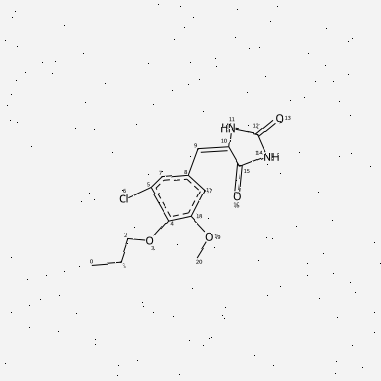 CCCOc1c(Cl)cc(C=C2NC(=O)NC2=O)cc1OC